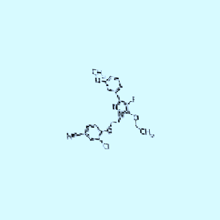 CCOc1c(F)c(-c2cccc(OC)c2)nn1CCOc1ccc(C#N)cc1Cl